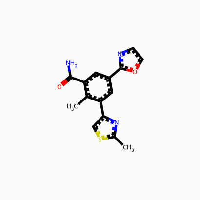 Cc1nc(-c2cc(-c3ncco3)cc(C(N)=O)c2C)cs1